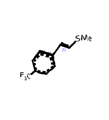 CS/C=C/c1ccc(C(F)(F)F)cc1